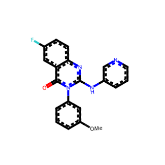 COc1cccc(-n2c(Nc3cccnc3)nc3ccc(F)cc3c2=O)c1